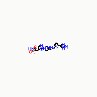 CN(C)c1ncc(-c2cccc(CNCC3CCN(c4nccc(/C=C5/SC(=O)NC5=O)n4)CC3)n2)cn1